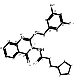 O=C(CCC1CCCC1)Nn1c(SCc2cc(F)cc(F)c2)nc2ccccc2c1=O